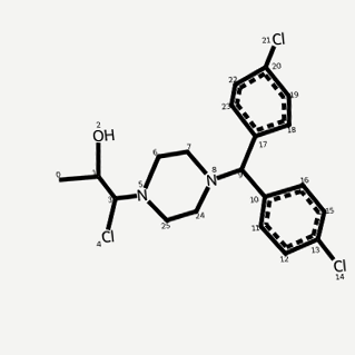 CC(O)C(Cl)N1CCN(C(c2ccc(Cl)cc2)c2ccc(Cl)cc2)CC1